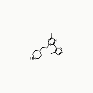 Cc1cn(CCC2CCNCC2)c(-c2sccc2C)n1